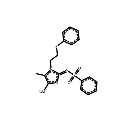 Cc1c(C(C)(C)C)s/c(=N\S(=O)(=O)c2ccccc2)n1CCSc1ccccc1